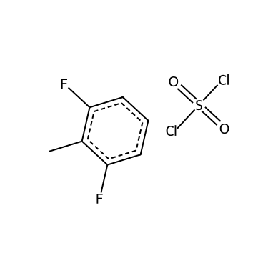 Cc1c(F)cccc1F.O=S(=O)(Cl)Cl